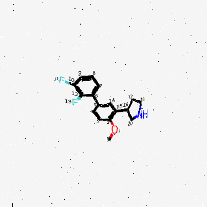 COc1ccc(-c2cccc(F)c2F)cc1C1CCNC1